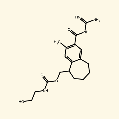 Cc1nc2c(cc1C(=O)NC(=N)N)CCCCC2COC(=O)NCCO